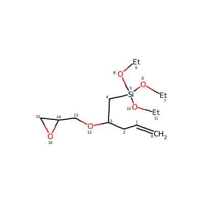 C=CCC(C[Si](OCC)(OCC)OCC)OCC1CO1